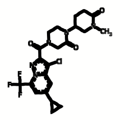 CN1CC(N2CCN(C(=O)c3nn4c(C(F)(F)F)cc(C5CC5)cc4c3Cl)CC2=O)CCC1=O